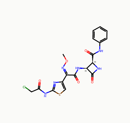 CON=C(C(=O)N[C@@H]1C(=O)N[C@@H]1C(=O)Nc1ccccc1)c1csc(NC(=O)CCl)n1